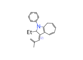 C=C(C)/C=C1/C2=C(CC=CC=C2)N(c2ccccc2)C1CC